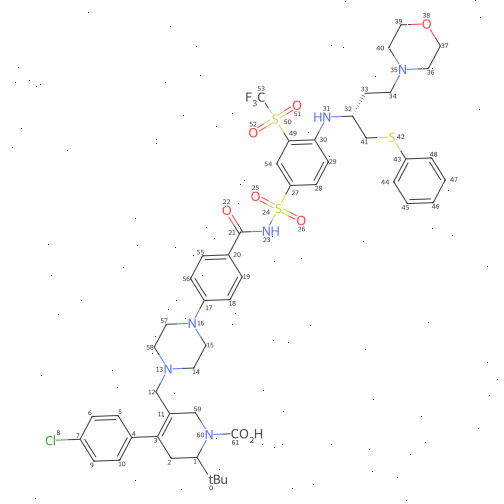 CC(C)(C)C1CC(c2ccc(Cl)cc2)=C(CN2CCN(c3ccc(C(=O)NS(=O)(=O)c4ccc(N[C@H](CCN5CCOCC5)CSc5ccccc5)c(S(=O)(=O)C(F)(F)F)c4)cc3)CC2)CN1C(=O)O